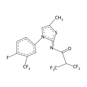 Cc1cn(-c2ccc(F)c(C(F)(F)F)c2)c(=NC(=O)C(C(F)(F)F)C(F)(F)F)s1